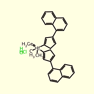 Cl.Cl.[CH3][Hf]([CH3])(=[GeH2])([C]1=CC(c2cccc3ccccc23)=CC1)[C]1=CC(c2cccc3ccccc23)=CC1